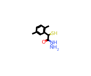 Cc1ccc(C)c(C(S)C(=O)NN)c1